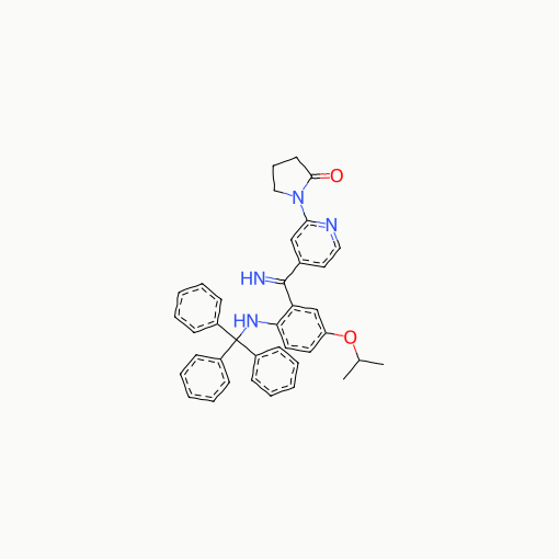 CC(C)Oc1ccc(NC(c2ccccc2)(c2ccccc2)c2ccccc2)c(C(=N)c2ccnc(N3CCCC3=O)c2)c1